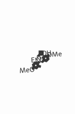 CC[N@@+](C)(CC1CCC1)[C@@H](Cc1ccc(OC)c(O)c1)c1ccc(OC)cc1C